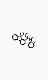 Cc1ccccc1N(C)C(=O)c1cccc2c1C(=O)c1ccccc1-2